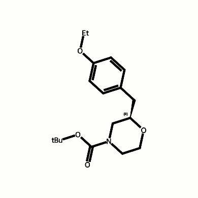 CCOc1ccc(C[C@@H]2CN(C(=O)OC(C)(C)C)CCO2)cc1